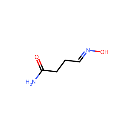 NC(=O)CCC=NO